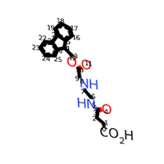 O=C(O)CCC(=O)NCCNCC(=O)OCC1c2ccccc2-c2ccccc21